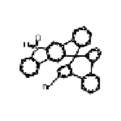 O=S1(=O)c2ccccc2-c2cc3c(cc21)-c1ccccc1C31c2ccccc2-c2ccccc2-c2cc(Br)ccc21